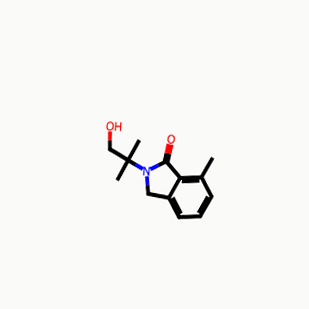 Cc1cccc2c1C(=O)N(C(C)(C)CO)C2